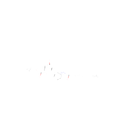 CCCCCCCC(=O)Nc1cccc(-c2cc(=O)cc(C(=O)OCC)o2)c1